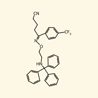 N#CCCCC(=NOCCNC(c1ccccc1)(c1ccccc1)c1ccccc1)c1ccc(C(F)(F)F)cc1